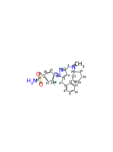 CN(Cc1cc(Cc2ccccc2)n(-c2ccc(S(N)(=O)=O)cc2F)n1)C1CCCCC1